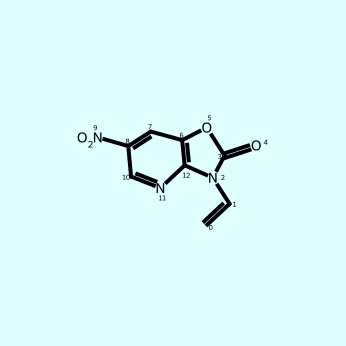 C=Cn1c(=O)oc2cc([N+](=O)[O-])cnc21